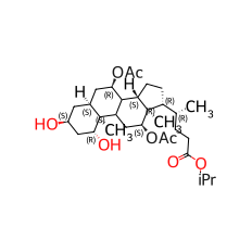 CC(=O)O[C@H]1CC2C([C@H](OC(C)=O)C[C@@H]3C[C@H](O)C[C@@H](O)[C@]23C)[C@@H]2CC[C@H]([C@H](C)CCC(=O)OC(C)C)[C@@]12C